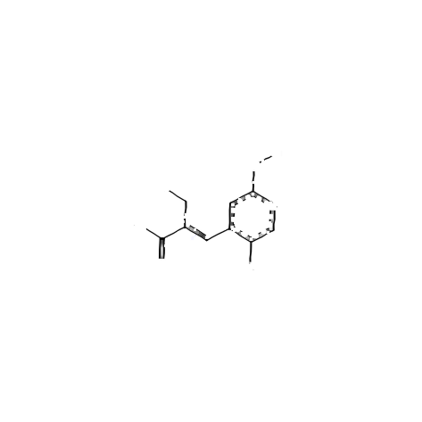 CC/C(=C\c1cc(OC)ncc1Br)C(=O)O